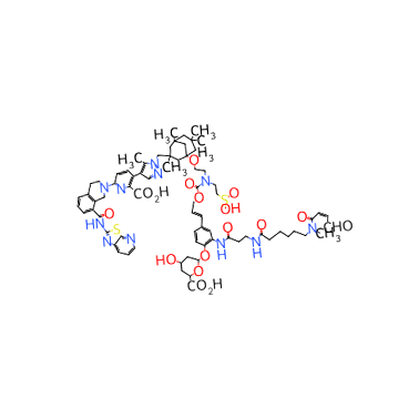 Cc1c(-c2ccc(N3CCc4cccc(C(=O)Nc5nc6cccnc6s5)c4C3)nc2C(=O)O)cnn1CC1(C)CC2(C)CC(C)(C)CC(OCCN(CCS(=O)O)C(=O)OC/C=C/c3ccc(OC4CC(O)CC(C(=O)O)O4)c(NC(=O)CCNC(=O)CCCCCN(C)C(=O)/C=C\C=O)c3)(C1)C2